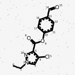 CCn1cc(Cl)c(C(=O)Oc2ccc(C=O)cc2)n1